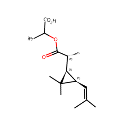 CC(C)=C[C@@H]1[C@H]([C@@H](C)C(=O)OC(C(=O)O)C(C)C)C1(C)C